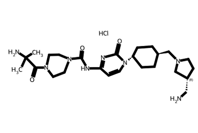 CC(C)(N)C(=O)N1CCN(C(=O)Nc2ccn([C@H]3CC[C@H](CN4CC[C@H](CN)C4)CC3)c(=O)n2)CC1.Cl